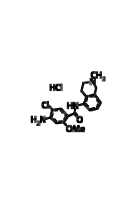 COc1cc(N)c(Cl)cc1C(=O)Nc1cccc2c1CCN(C)C2.Cl